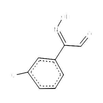 O=[C]C(=NO)c1cccc(Cl)c1